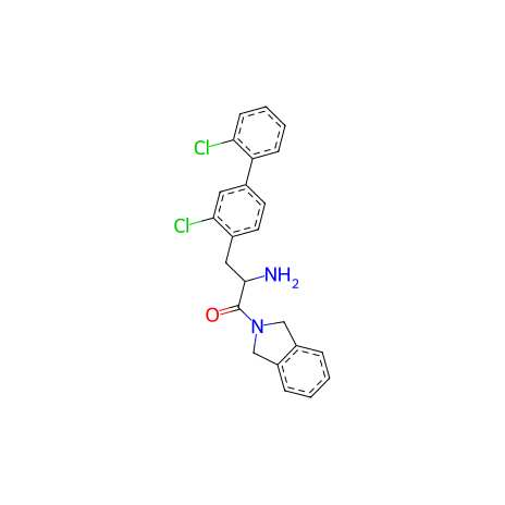 NC(Cc1ccc(-c2ccccc2Cl)cc1Cl)C(=O)N1Cc2ccccc2C1